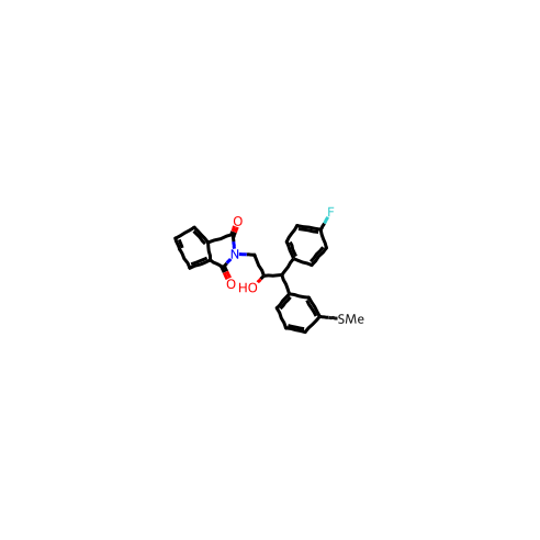 CSc1cccc(C(c2ccc(F)cc2)C(O)CN2C(=O)c3ccccc3C2=O)c1